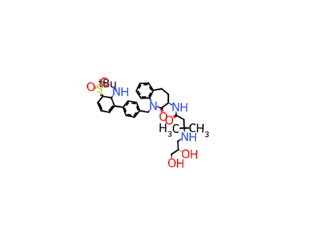 CC(C)(C)NC1C(c2ccc(CN3C(=O)[C@H](NC(=O)CC(C)(C)NC[C@H](O)CO)CCc4ccccc43)cc2)=CC=CC1=S(=O)=O